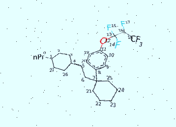 CCCC1CCC(CCC2(c3ccc(OC(F)(F)C(F)C(F)(F)F)cc3)CCCCC2)CC1